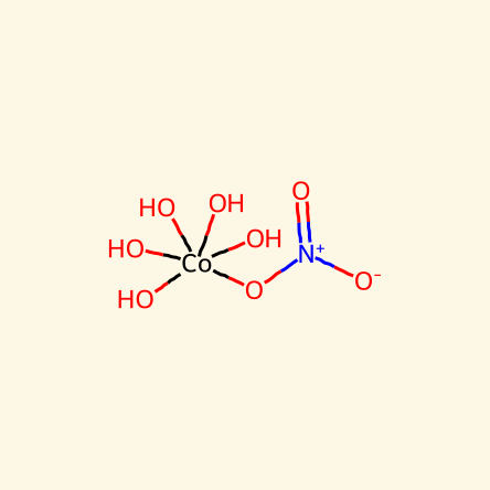 O=[N+]([O-])[O][Co]([OH])([OH])([OH])([OH])[OH]